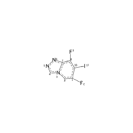 Fc1cn2cnnc2c(F)c1I